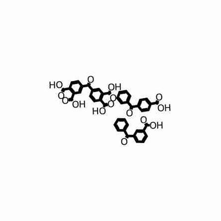 O=C(O)c1ccc(C(=O)c2ccccc2)cc1.O=C(O)c1cccc(C(=O)c2ccccc2)c1.O=C(c1ccc(C(=O)O)c(C(=O)O)c1)c1ccc(C(=O)O)c(C(=O)O)c1